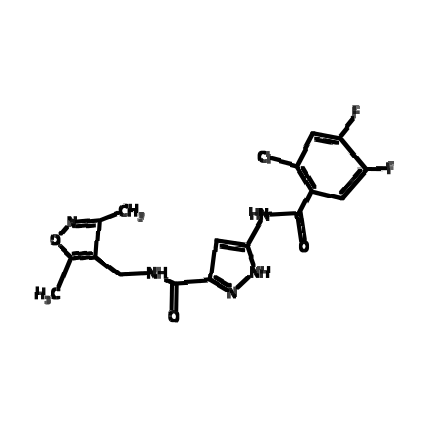 Cc1noc(C)c1CNC(=O)c1cc(NC(=O)c2cc(F)c(F)cc2Cl)[nH]n1